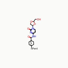 CCCCCC12CCC(C(=O)Nc3ccn(C4COC(CO)O4)c(=O)n3)(CC1)CC2